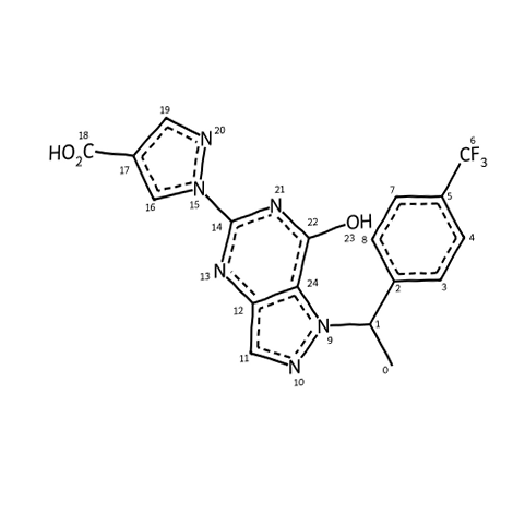 CC(c1ccc(C(F)(F)F)cc1)n1ncc2nc(-n3cc(C(=O)O)cn3)nc(O)c21